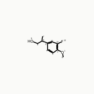 COc1ccc([C](C)CO)cc1F